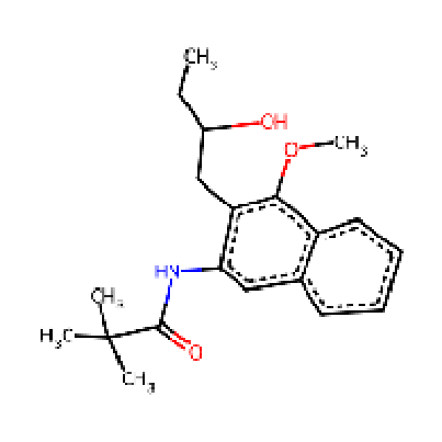 CCC(O)Cc1c(NC(=O)C(C)(C)C)cc2ccccc2c1OC